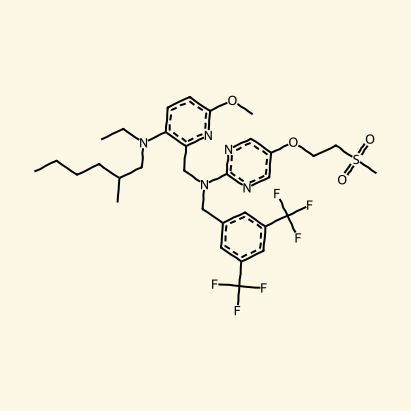 CCCCC(C)CN(CC)c1ccc(OC)nc1CN(Cc1cc(C(F)(F)F)cc(C(F)(F)F)c1)c1ncc(OCCS(C)(=O)=O)cn1